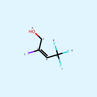 OC/C(I)=C\C(F)(F)F